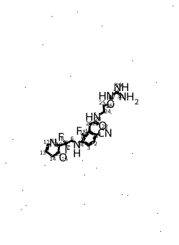 N#Cc1ccc(NCC(F)(F)C2=NC=CCC2=O)c(F)c1CC(=O)NCCONC(=N)N